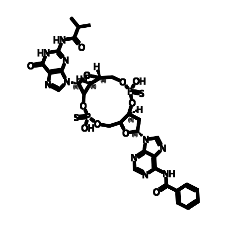 CC(C)C(=O)Nc1nc2c(ncn2[C@@H]2O[C@@H]3COP(O)(=S)O[C@H]4C[C@H](n5cnc6c(NC(=O)c7ccccc7)ncnc65)OC4COP(O)(=S)OC2[C@@H]3F)c(=O)[nH]1